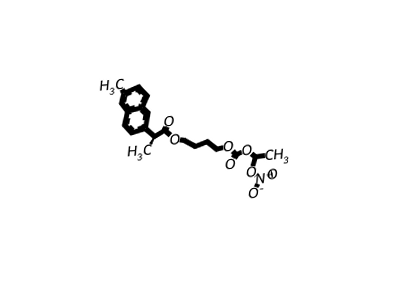 Cc1ccc2cc([C@H](C)C(=O)OCCCCOC(=O)OC(C)O[N+](=O)[O-])ccc2c1